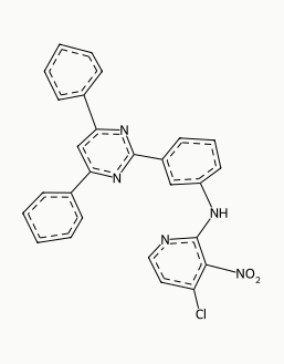 O=[N+]([O-])c1c(Cl)ccnc1Nc1cccc(-c2nc(-c3ccccc3)cc(-c3ccccc3)n2)c1